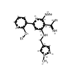 CCOc1ncccc1-c1cc(NCc2cnn(C)c2)c(C(=N)C(C)C)c(NC)n1